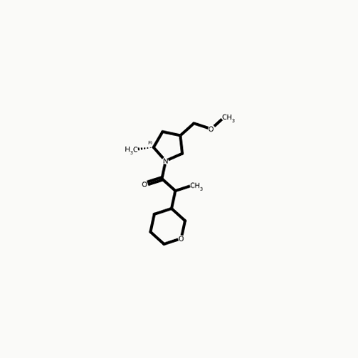 COCC1C[C@@H](C)N(C(=O)C(C)C2CCCOC2)C1